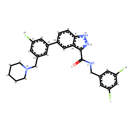 O=C(NCc1cc(F)cc(F)c1)c1n[nH]c2ccc(-c3cc(F)cc(CN4CCCCC4)c3)cc12